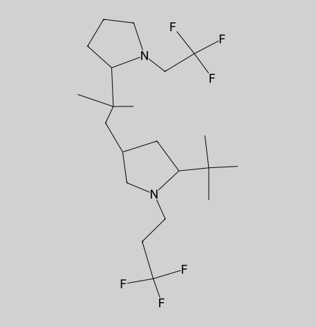 CC(C)(C)C1CC(CC(C)(C)C2CCCN2CC(F)(F)F)CN1CCC(F)(F)F